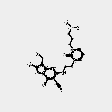 CCc1c(C)nn2c(N)c(C#N)c(NCCc3cccn(CCC[S+](C)[O-])c3=O)nc12